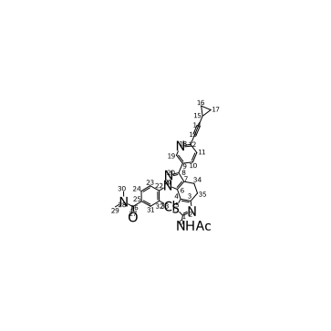 CC(=O)Nc1nc2c(s1)-c1c(c(-c3ccc(C#CC4CC4)nc3)nn1-c1ccc(C(=O)N(C)C)cc1Cl)CC2